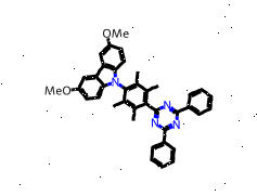 COc1ccc2c(c1)c1cc(OC)ccc1n2-c1c(C)c(C)c(-c2nc(-c3ccccc3)nc(-c3ccccc3)n2)c(C)c1C